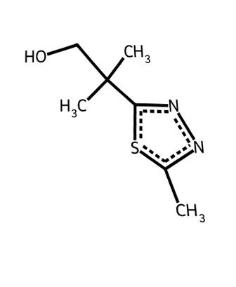 Cc1nnc(C(C)(C)CO)s1